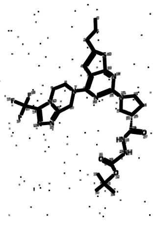 CCCc1cc2c(N3CCn4c(nnc4C(F)(F)F)C3)nc(N3CC[C@H](C(=O)NNC(=O)OC(C)(C)C)C3)nc2s1